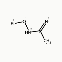 CCONC(C)=[N]